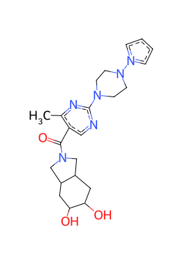 Cc1nc(N2CCN(n3cccc3)CC2)ncc1C(=O)N1CC2CC(O)C(O)CC2C1